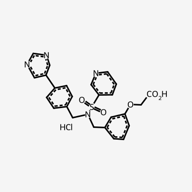 Cl.O=C(O)COc1cccc(CN(Cc2ccc(-c3cncnc3)cc2)S(=O)(=O)c2cccnc2)c1